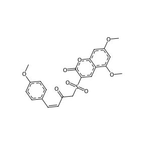 COc1ccc(/C=C\C(=O)CS(=O)(=O)c2cc3c(OC)cc(OC)cc3oc2=O)cc1